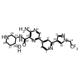 Nc1ncc(-c2ccnc(-c3cnn(CC(F)(F)F)c3)c2)nc1C(=O)N[C@@H]1CNCC[C@H]1O